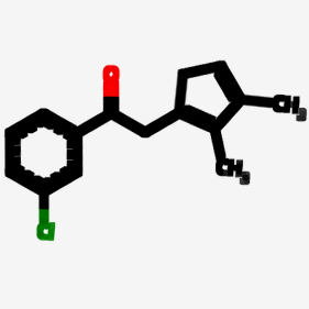 CC1=CCC(CC(=O)c2cccc(Cl)c2)=C1C